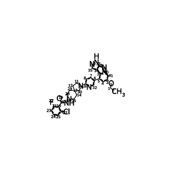 CCOc1cc(-c2ccc(N3CCC4(CCN(NC(=O)c5c(F)cccc5Cl)CC4)C3)nc2)c2c3cn[nH]c3nn2c1